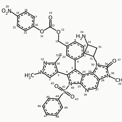 Cn1cc(-c2c(-c3cccc(COC(=O)Oc4ccc([N+](=O)[O-])cc4)c3)c3c(ncc4c3n(C3CC(N)C3)c(=O)n4C)n2S(=O)(=O)c2ccccc2)c(F)n1